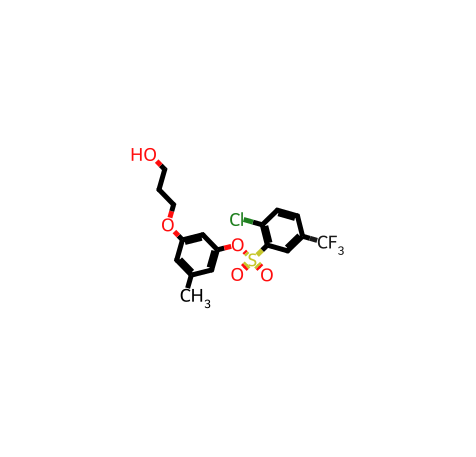 Cc1cc(OCCCO)cc(OS(=O)(=O)c2cc(C(F)(F)F)ccc2Cl)c1